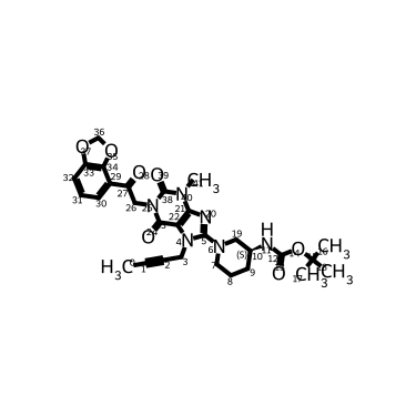 CC#CCn1c(N2CCC[C@H](NC(=O)OC(C)(C)C)C2)nc2c1c(=O)n(CC(=O)c1cccc3c1OCO3)c(=O)n2C